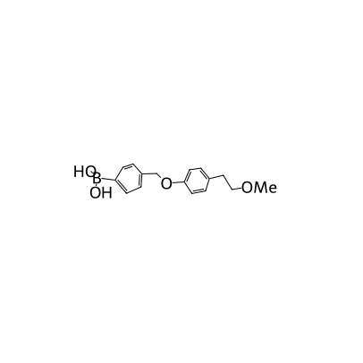 COCCc1ccc(OCc2ccc(B(O)O)cc2)cc1